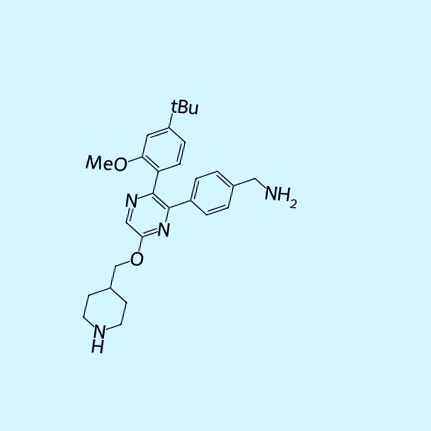 COc1cc(C(C)(C)C)ccc1-c1ncc(OCC2CCNCC2)nc1-c1ccc(CN)cc1